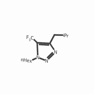 CCCCCCn1nnc(CC(C)C)c1C(F)(F)F